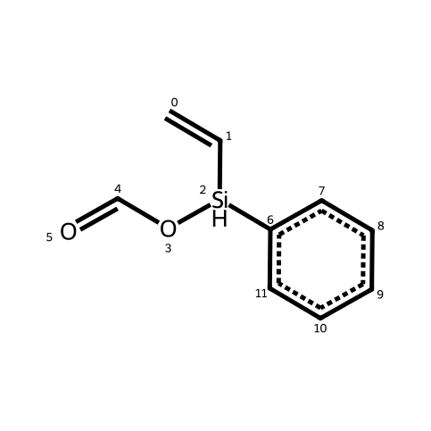 C=C[SiH](OC=O)c1ccccc1